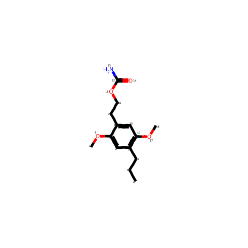 CCCc1cc(OC)c(CCOC(N)=O)cc1OC